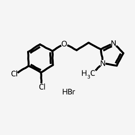 Br.Cn1ccnc1CCOc1ccc(Cl)c(Cl)c1